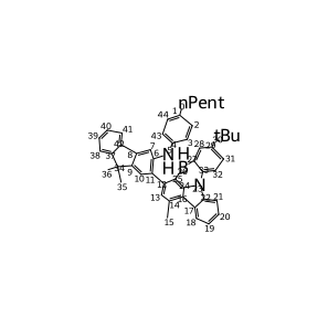 CCCCCc1ccc(Nc2cc3c(cc2-c2cc(C)c4c5ccccc5n5c4c2Bc2cc(C(C)(C)C)ccc2-5)C(C)(C)c2ccccc2-3)cc1